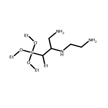 CCO[Si](OCC)(OCC)C(CC)C(CN)NCCN